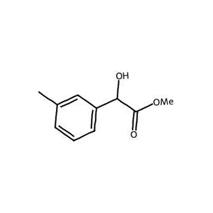 COC(=O)C(O)c1cccc(C)c1